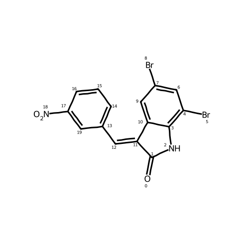 O=C1Nc2c(Br)cc(Br)cc2C1=Cc1cccc([N+](=O)[O-])c1